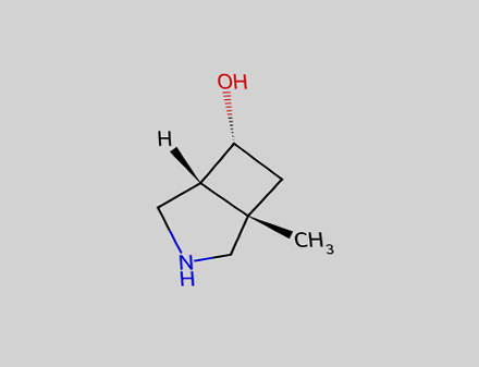 C[C@@]12CNC[C@@H]1[C@H](O)C2